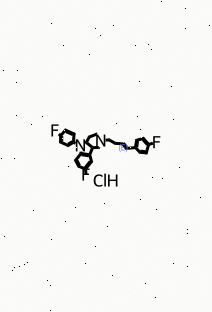 Cl.Fc1ccc(/C=C/CCN2CCC3C(C2)c2cc(F)ccc2N3c2ccc(F)cc2)cc1